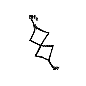 BN1CC2(CC(C(C)C)C2)C1